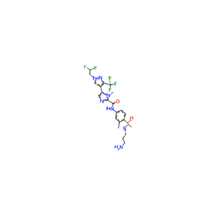 Cc1cc(NC(=O)c2ncc(-c3cn(CC(F)F)nc3C(F)(F)F)n2C)ccc1S(C)(=O)=NCCCN